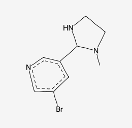 CN1CCNC1c1cncc(Br)c1